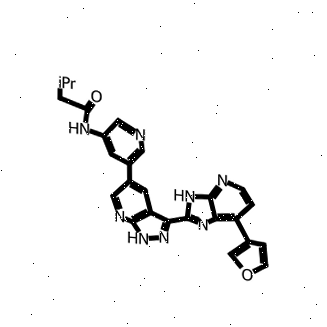 CC(C)CC(=O)Nc1cncc(-c2cnc3[nH]nc(-c4nc5c(-c6ccoc6)ccnc5[nH]4)c3c2)c1